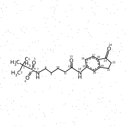 CC(C)(C)S(=O)(=O)NCCCCC(=O)Nc1ccc2c(c1)CCC2=O